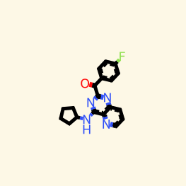 O=C(c1ccc(F)cc1)c1nc(NC2CCCC2)c2ncccc2n1